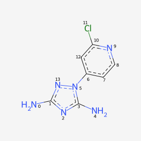 Nc1nc(N)n(-c2ccnc(Cl)c2)n1